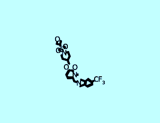 Cn1c(CN2Cc3ccc(C(F)(F)F)cc3C2)ccc(OCC2CCN(S(=O)(=O)C3COC3)CC2)c1=O